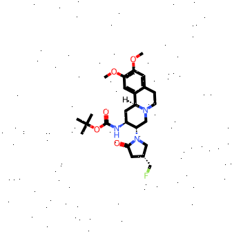 COc1cc2c(cc1OC)[C@@H]1C[C@H](NC(=O)OC(C)(C)C)[C@@H](N3C[C@H](CF)CC3=O)CN1CC2